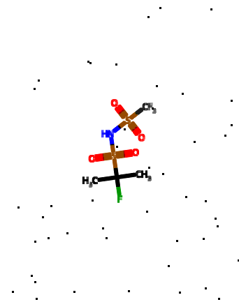 CC(C)(F)S(=O)(=O)NS(=O)(=O)C(F)(F)F